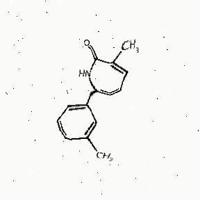 Cc1cccc(-c2ccc(C)c(=O)[nH]2)c1